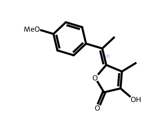 COc1ccc(/C(C)=C2\OC(=O)C(O)=C2C)cc1